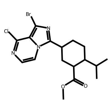 COC(=O)C1CC(c2nc(Br)c3c(Cl)nccn23)CCC1C(C)C